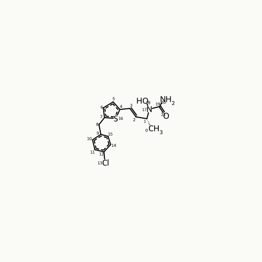 C[C@H](C=Cc1ccc(Cc2ccc(Cl)cc2)s1)N(O)C(N)=O